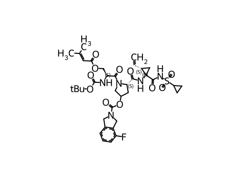 C=C[C@@H]1C[C@]1(NC(=O)[C@@H]1CC(OC(=O)N2Cc3cccc(F)c3C2)CN1C(=O)[C@H](COC(=O)C=C(C)C)NC(=O)OC(C)(C)C)C(=O)NS(=O)(=O)C1CC1